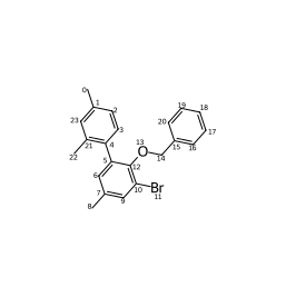 Cc1ccc(-c2cc(C)cc(Br)c2OCc2ccccc2)c(C)c1